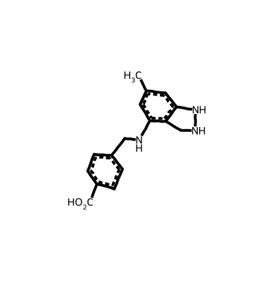 Cc1cc(NCc2ccc(C(=O)O)cc2)c2c(c1)NNC2